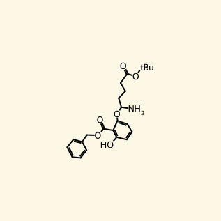 CC(C)(C)OC(=O)CCCC(N)Oc1cccc(O)c1C(=O)OCc1ccccc1